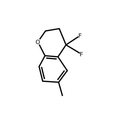 Cc1ccc2c(c1)C(F)(F)CCO2